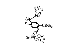 C=CC(=O)Nc1cc(OC)c(CO[Si](C)(C)C(C)(C)C)cc1F